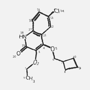 CCOc1c(OCC2CCC2)c2cc(Cl)ccc2[nH]c1=O